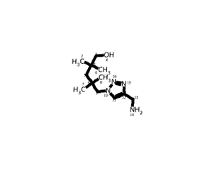 CC(C)(CO)CC(C)(C)Cn1cc(CN)nn1